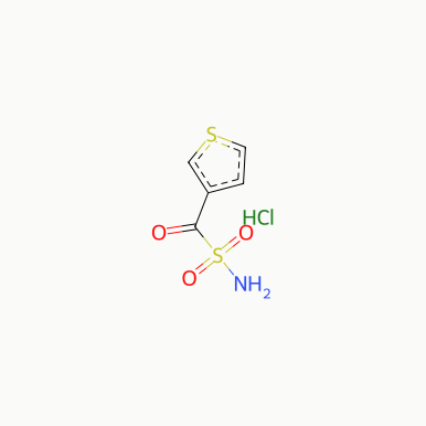 Cl.NS(=O)(=O)C(=O)c1ccsc1